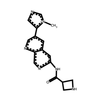 Cn1cncc1-c1cnc2cnc(NC(=O)C3CNC3)cc2c1